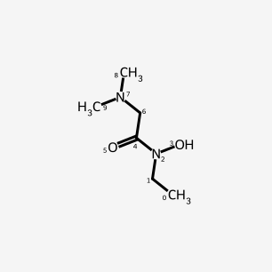 CCN(O)C(=O)CN(C)C